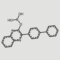 OB(O)Oc1nc2ccccc2nc1-c1ccc(-c2ccccc2)cc1